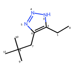 CCc1[nH]nnc1CC(C)(C)C